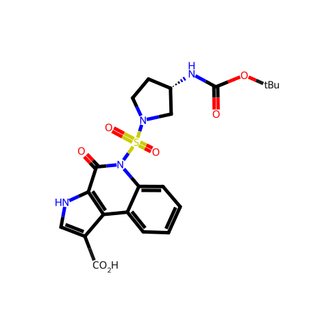 CC(C)(C)OC(=O)N[C@H]1CCN(S(=O)(=O)n2c(=O)c3[nH]cc(C(=O)O)c3c3ccccc32)C1